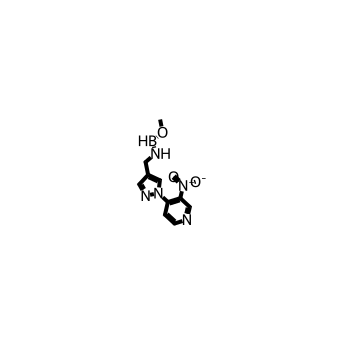 COBNCc1cnn(-c2ccncc2[N+](=O)[O-])c1